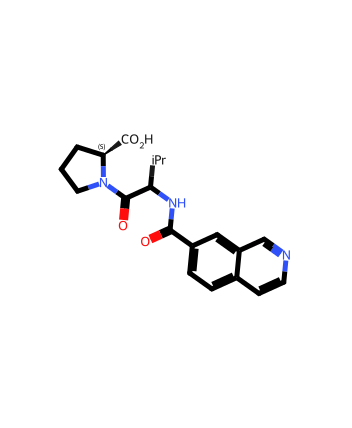 CC(C)C(NC(=O)c1ccc2ccncc2c1)C(=O)N1CCC[C@H]1C(=O)O